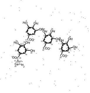 O=C([O-])c1cc(O)c(O)c(O)c1.O=C([O-])c1cc(O)c(O)c(O)c1.O=C([O-])c1cc(O)c(O)c(O)c1.O=C([O-])c1cc(O)c(O)c(O)c1.[GeH2+2].[Zn+2]